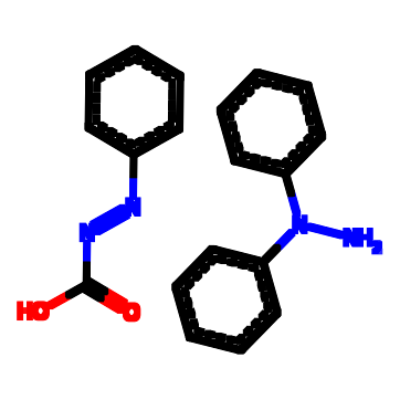 NN(c1ccccc1)c1ccccc1.O=C(O)N=Nc1ccccc1